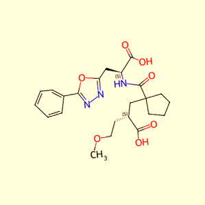 COCC[C@H](CC1(C(=O)N[C@@H](Cc2nnc(-c3ccccc3)o2)C(=O)O)CCCC1)C(=O)O